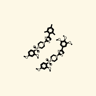 COc1ccc(S(=O)(=O)N2CCN(c3nc(-c4c(C)cc(C)cc4C)cs3)CC2)c(OC)c1.COc1ccc(S(=O)(=O)N2CCN(c3nc(-c4cc(OC)c(OC)c(OC)c4)cs3)CC2)c(OC)c1